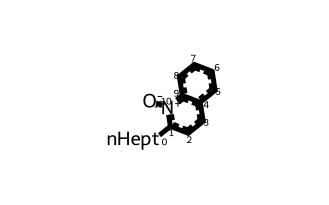 CCCCCCCc1ccc2ccccc2[n+]1[O-]